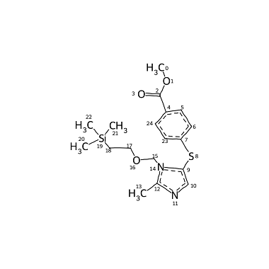 COC(=O)c1ccc(Sc2cnc(C)n2COCC[Si](C)(C)C)cc1